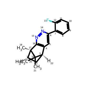 C[C@H]1C[C@@H]2c3cc(-c4ccccc4F)nnc3[C@@]1(C)C2(C)C